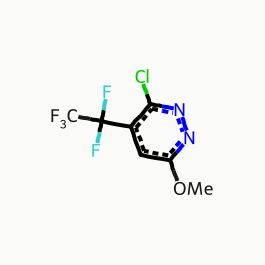 COc1cc(C(F)(F)C(F)(F)F)c(Cl)nn1